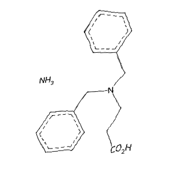 N.O=C(O)CCN(Cc1ccccc1)Cc1ccccc1